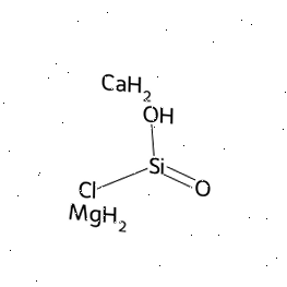 O=[Si](O)Cl.[CaH2].[MgH2]